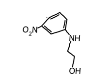 O=[N+]([O-])c1[c]ccc(NCCO)c1